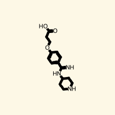 N=C(NC1CCNCC1)c1ccc(OCCC(=O)O)cc1